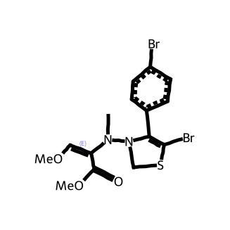 CO/C=C(\C(=O)OC)N(C)N1CSC(Br)=C1c1ccc(Br)cc1